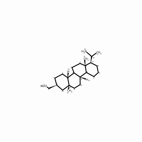 COC[C@H]1CC[C@@H]2C3CC[C@@]4(C)C(CCC[C@@H]4C(C)N)[C@@H]3CC[C@]2(C)C1